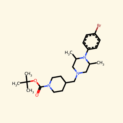 CC1CN(CC2CCN(C(=O)OC(C)(C)C)CC2)CC(C)N1c1ccc(Br)cc1